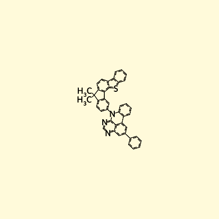 CC1(C)c2ccc(N3c4ccccc4-c4cc(-c5ccccc5)cc5ncnc3c45)cc2-c2c1ccc1c2sc2ccccc21